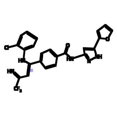 N=C(/C=C(\Nc1ccccc1Cl)c1ccc(C(=O)Nc2cc(-c3ccco3)[nH]n2)cc1)C(F)(F)F